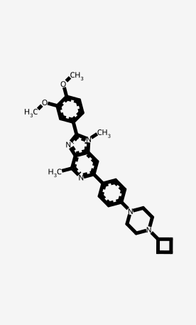 COc1ccc(-c2nc3c(C)nc(-c4ccc(N5CCN(C6CCC6)CC5)cc4)cc3n2C)cc1OC